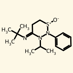 CC(C)N1C(=NC(C)(C)C)CC[S+]([O-])N1c1ccccc1